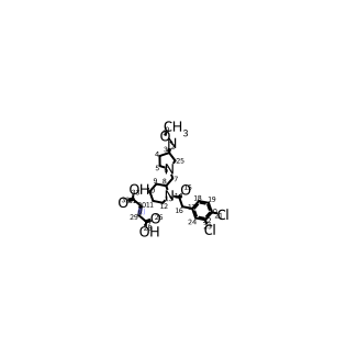 CON=C1CCN(CC2CCCCN2C(=O)Cc2ccc(Cl)c(Cl)c2)C1.O=C(O)/C=C/C(=O)O